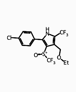 CCOCc1c(C(F)(F)F)[nH]c(-c2ccc(Cl)cc2)c1[S+]([O-])C(F)(F)F